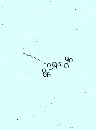 CCCCCCCCCCCCOc1ccc(SCc2cccc(C(=O)OC)c2)nc1C=CCC(=O)O